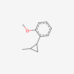 COc1ccccc1C1CC1C